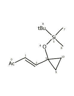 CC(=O)/C=C/C1(O[Si](C)(C)C(C)(C)C)CC1